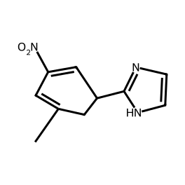 CC1=CC([N+](=O)[O-])=CC(c2ncc[nH]2)C1